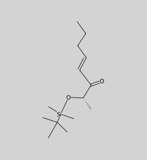 CCC/C=C/C(=O)[C@H](C)O[Si](C)(C)C(C)(C)C